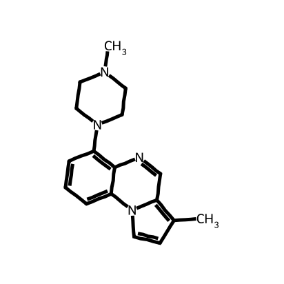 Cc1ccn2c1cnc1c(N3CCN(C)CC3)cccc12